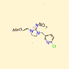 COC=CN1CCN(Cc2ccc(Cl)nc2)/C1=N\[N+](=O)[O-]